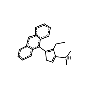 CCC1=C(c2c3ccccc3cc3ccccc23)CC=C1[SiH](C)C